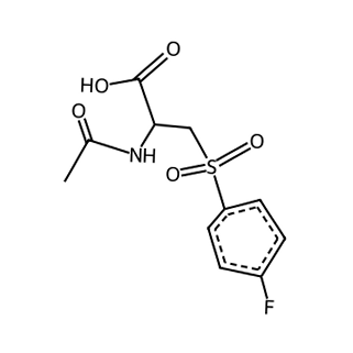 CC(=O)NC(CS(=O)(=O)c1ccc(F)cc1)C(=O)O